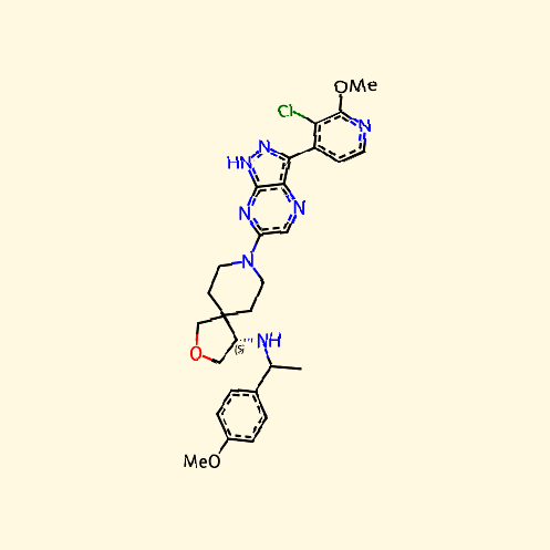 COc1ccc(C(C)N[C@@H]2COCC23CCN(c2cnc4c(-c5ccnc(OC)c5Cl)n[nH]c4n2)CC3)cc1